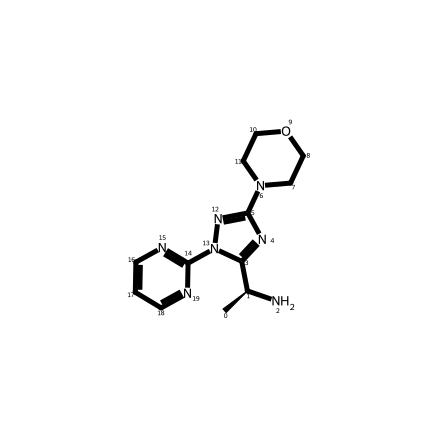 C[C@H](N)c1nc(N2CCOCC2)nn1-c1ncccn1